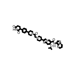 CC(C)Oc1cc2nc(C3CCN(CC(=O)N4CCC(c5ccc(C6CCC(=O)NC6=O)cc5)CC4)CC3)cn2cc1C(=O)Nc1cnn2cccnc12